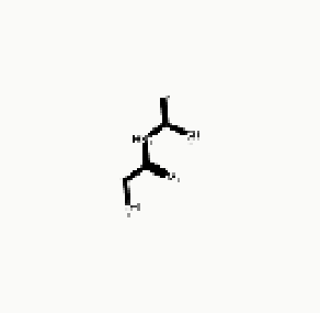 CC(S)NC(=O)CO